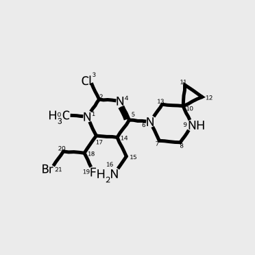 CN1C(Cl)N=C(N2CCNC3(CC3)C2)C(CN)C1C(F)CBr